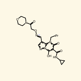 CC(C)Cn1c(=O)c(C(=O)NC2CC2)c(O)n2ncc(/C=N/OCC(=O)N3CCOCC3)c12